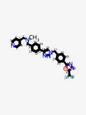 CN(Cc1ccncc1)Cc1ccc(-c2cn(Cc3ccc(-c4nnc(C(F)F)o4)cc3)nn2)cc1